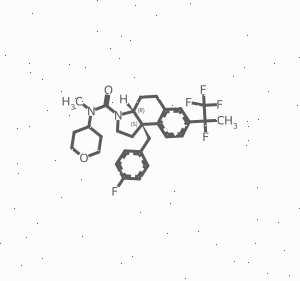 CN(C(=O)N1CC[C@@]2(Cc3ccc(F)cc3)c3ccc(C(C)(F)C(F)(F)F)cc3CC[C@@H]12)C1CCOCC1